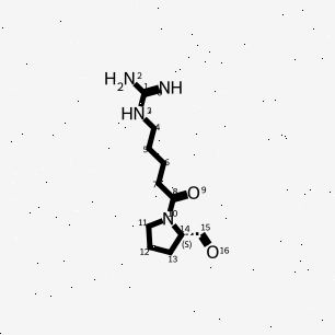 N=C(N)NCCCCC(=O)N1CCC[C@H]1C=O